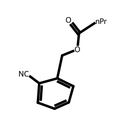 CCCC(=O)OCc1ccccc1C#N